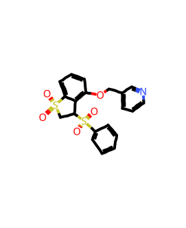 O=S1(=O)CC(S(=O)(=O)c2ccccc2)c2c(OCc3cccnc3)cccc21